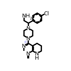 C=NC1=C(/C(=N\C)N2CCN(C(CN)c3ccc(Cl)cc3)CC2)CCCN1